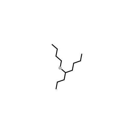 [CH2]CCC(CCCC)OCCCC